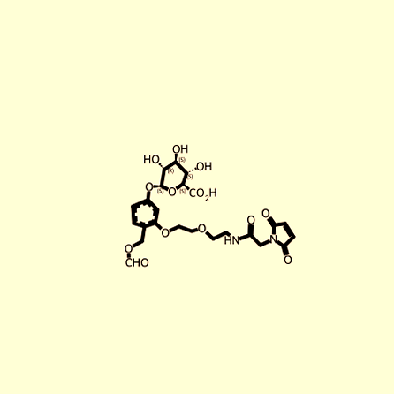 O=COCc1ccc(O[C@@H]2O[C@H](C(=O)O)[C@@H](O)[C@H](O)[C@H]2O)cc1OCCOCCNC(=O)CN1C(=O)C=CC1=O